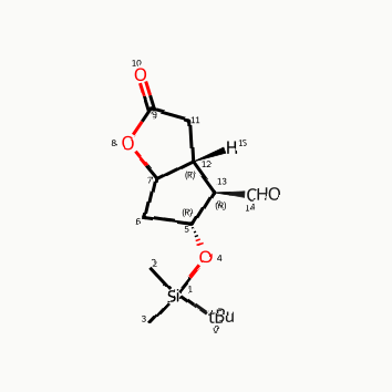 CC(C)(C)[Si](C)(C)O[C@@H]1CC2OC(=O)C[C@@H]2[C@H]1C=O